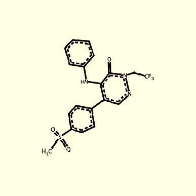 CS(=O)(=O)c1ccc(-c2cnn(CC(F)(F)F)c(=O)c2Nc2ccccc2)cc1